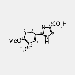 COc1ccc(-c2nc(C(=O)O)c[nH]2)cc1C(F)(F)F